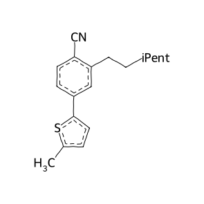 CCCC(C)CCc1cc(-c2ccc(C)s2)ccc1C#N